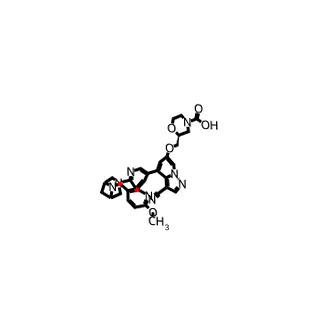 COc1ccc(CN2C3CC2CN(c2ccc(-c4cc(OC[C@@H]5CN(C(=O)O)CCO5)cn5ncc(C#N)c45)cn2)C3)cn1